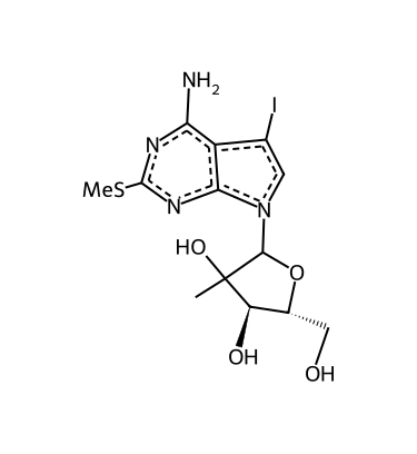 CSc1nc(N)c2c(I)cn(C3O[C@H](CO)[C@@H](O)C3(C)O)c2n1